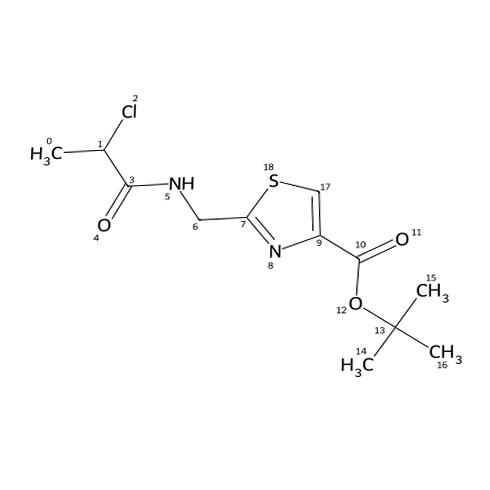 CC(Cl)C(=O)NCc1nc(C(=O)OC(C)(C)C)cs1